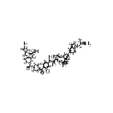 Cn1c(-c2cn(-c3ccc4c(ccn4CC(N)=O)n3)nc2C(F)(F)F)cnc1C(=O)Nc1ccc(C(=O)N2CCN(C(=O)C3CC[N+](CC(=O)O)(CC4CNC4)CC3)CC2)c(Cl)c1